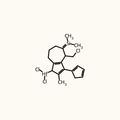 CC1=C(C2=CC=CC2)C2=C(CCCC(=[Si](C)C)C2CCl)[CH]1[Hf]([Cl])[Cl]